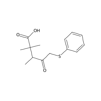 CC(C(=O)CSc1ccccc1)C(C)(C)C(=O)O